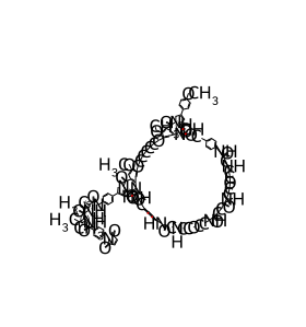 COc1ccc(C2=C[C@H]3C(O)N4C(=O)OCc5ccc(cc5)NC(=O)CNCCOCCNC(=O)CCC(=O)NCCOCCNCC(=O)Nc5ccc(cc5)COC(=O)N5c6cc(c(OC)cc6C(=O)N6CC(c7ccc(NC(=O)[C@H](C)NC(=O)[C@@H](NC(=O)c8ccc(N9C(=O)C=CC9=O)cc8)C(C)C)cc7)=C[C@H]6C5O)OCCCCCOc5cc4c(cc5OC)C(=O)N3C2)cc1